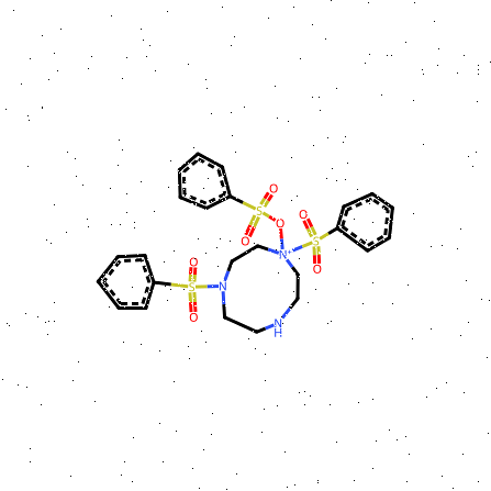 O=S(=O)(O[N+]1(S(=O)(=O)c2ccccc2)CCNCCN(S(=O)(=O)c2ccccc2)CC1)c1ccccc1